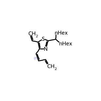 C=C/C=C\c1nc(C(CCCCCC)CCCCCC)sc1C=C